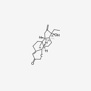 C=C1C[C@H]2C3(C)CCC4=CC(=O)CC[C@@H]4[C@H]3CC[C@]2(C)[C@@]1(O)CC